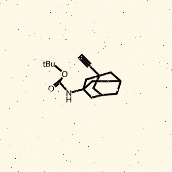 C#CC12CC3CC(C1)CC(NC(=O)OC(C)(C)C)(C3)C2